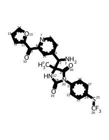 CC1(C(N)c2ccnc(C(=O)c3ccco3)c2)NC(=O)N(c2ccc(SC(F)(F)F)cc2)C1=O